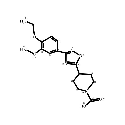 CCOc1ccc(-c2noc(C3CCN(C(=O)O)CC3)n2)cc1OC